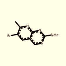 CNc1ncc2cc(Br)c(C)nc2n1